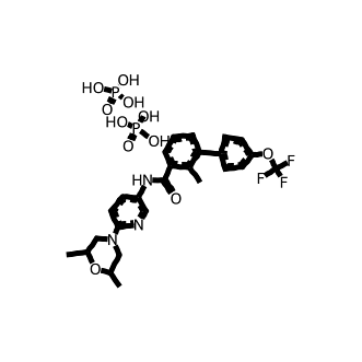 Cc1c(C(=O)Nc2ccc(N3CC(C)OC(C)C3)nc2)cccc1-c1ccc(OC(F)(F)F)cc1.O=P(O)(O)O.O=P(O)(O)O